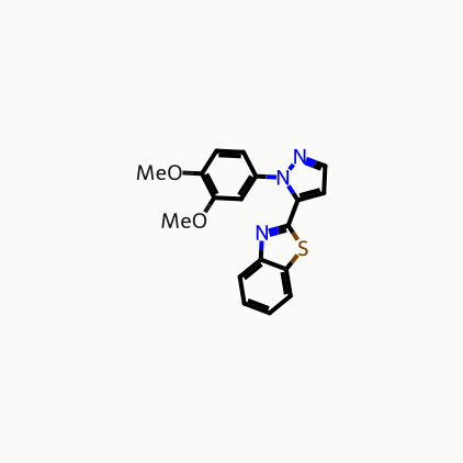 COc1ccc(-n2nccc2-c2nc3ccccc3s2)cc1OC